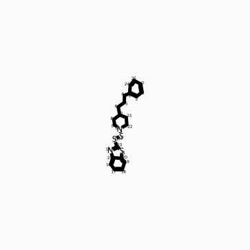 c1ccc(CCCC2CCN(SSc3nc4ccccc4s3)CC2)cc1